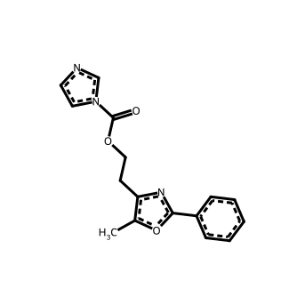 Cc1oc(-c2ccccc2)nc1CCOC(=O)n1ccnc1